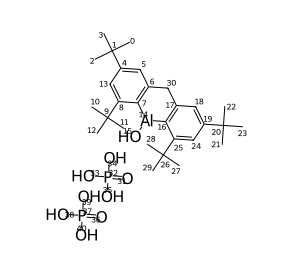 CC(C)(C)c1cc2[c](c(C(C)(C)C)c1)[Al]([OH])[c]1c(cc(C(C)(C)C)cc1C(C)(C)C)C2.O=P(O)(O)O.O=P(O)(O)O